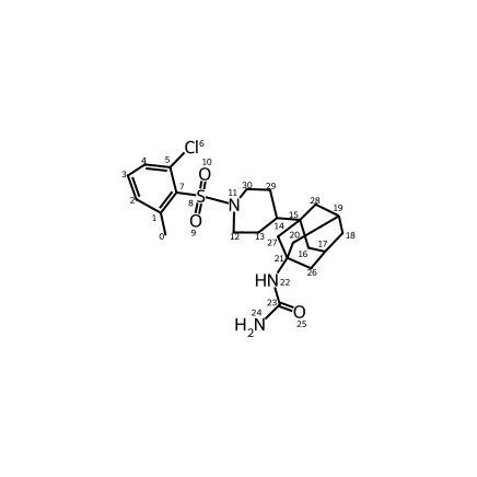 Cc1cccc(Cl)c1S(=O)(=O)N1CCC(C23CC4CC(CC(NC(N)=O)(C4)C2)C3)CC1